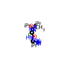 CC(C)CN(C)c1nc2cc(C(=O)Nc3cccc(-c4nnnn4C(C)C)n3)c(F)cc2nc1OC(C)C